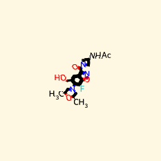 CC(=O)NC1CN(C(=O)c2noc3c(F)c(N4C[C@@H](C)O[C@@H](C)C4)c(CO)cc23)C1